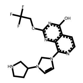 Oc1nc(OCC(F)(F)F)nc2c(N3C=CN(C4CCNC4)C3)nccc12